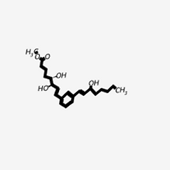 CCCCCC(O)C=Cc1cccc(C=C[C@@H](O)[C@@H](O)CCCC(=O)OC)c1